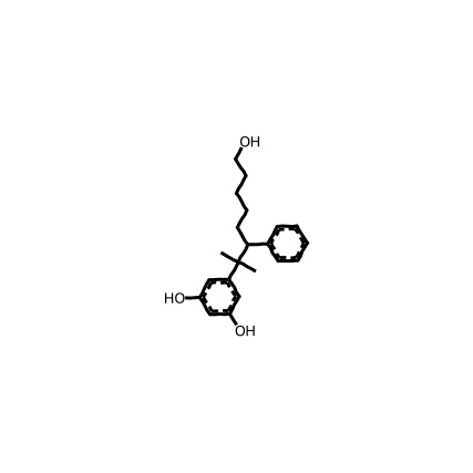 CC(C)(c1cc(O)cc(O)c1)C(CCCCCO)c1ccccc1